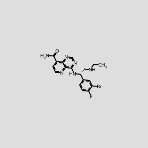 CCNC[C@@H](Nc1ncnc2c(C(N)=O)ccnc12)c1ccc(F)c(Br)c1